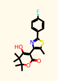 Cc1sc(-c2ccc(F)cc2)nc1C1=C(O)C(C)(C)C(C)(C)OC1=O